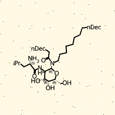 CCCCCCCCCCCCCCCCCCN(C(=O)CCCCCCCCCCC)[C@@H]1O[C@H](CO)[C@H](O)[C@H](O)[C@H]1NC(=O)[C@@H](N)CC(C)C